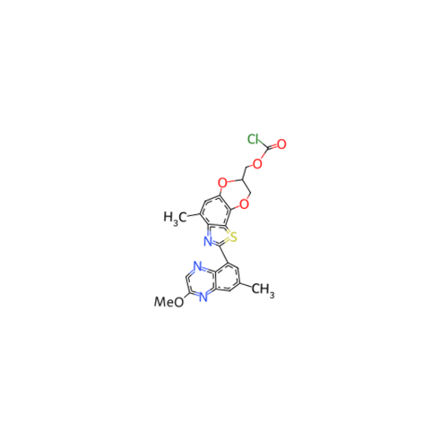 COc1cnc2c(-c3nc4c(C)cc5c(c4s3)OCC(COC(=O)Cl)O5)cc(C)cc2n1